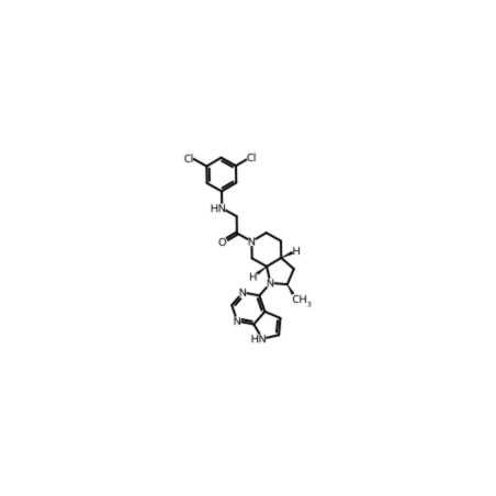 C[C@@H]1C[C@H]2CCN(C(=O)CNc3cc(Cl)cc(Cl)c3)C[C@H]2N1c1ncnc2[nH]ccc12